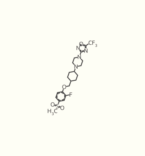 CS(=O)(=O)c1ccc(OCC2CCC(N3CCN(c4noc(C(F)(F)F)n4)CC3)CC2)c(F)c1